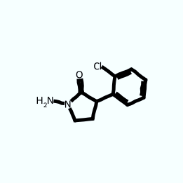 NN1CCC(c2ccccc2Cl)C1=O